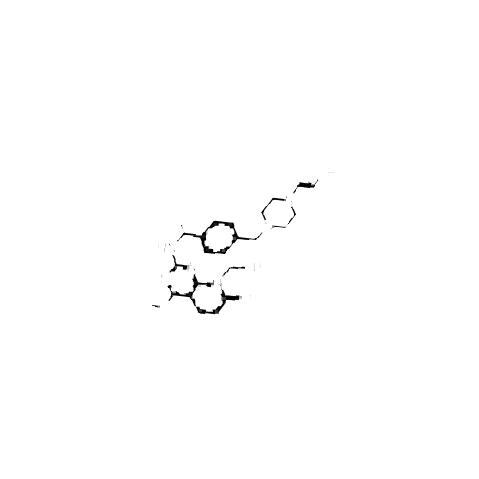 CC=CN1CCN(Cc2ccc([C@H](C)Nc3nc(OCC)c4ccc(=O)n(CC(C)(C)C)c4n3)cc2)CC1